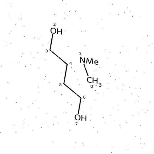 CNC.OCCCCO